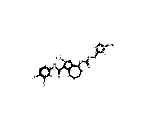 Cn1cnc(COC(=O)NC2CCCCc3c2cn(C)c3C(=O)Nc2ccc(F)c(Cl)c2)n1